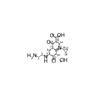 Cl.NCCNc1cc2c(=O)c(C(=O)O)cn(C3CC3)c2cc1Cl